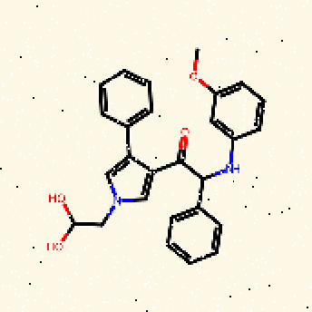 COc1cccc(NC(C(=O)c2cn(CC(O)O)cc2-c2ccccc2)c2ccccc2)c1